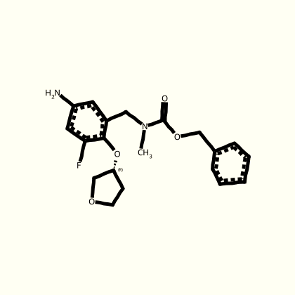 CN(Cc1cc(N)cc(F)c1O[C@@H]1CCOC1)C(=O)OCc1ccccc1